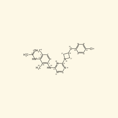 CC(=O)Nc1c(C)ccc(Nc2ncnc(N3CC(Oc4ccc(Cl)cc4)C3)n2)c1C